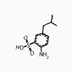 CC(C)Cc1ccc(N)c(S(=O)(=O)O)c1